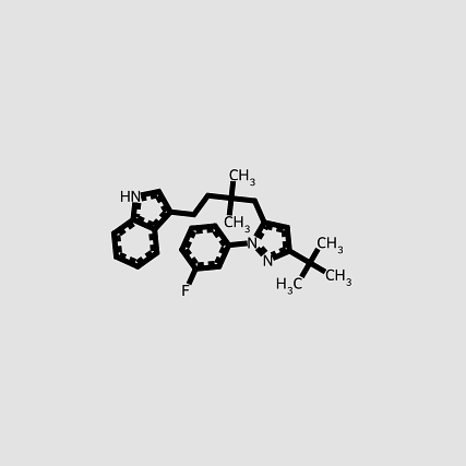 CC(C)(CCc1c[nH]c2ccccc12)Cc1cc(C(C)(C)C)nn1-c1cccc(F)c1